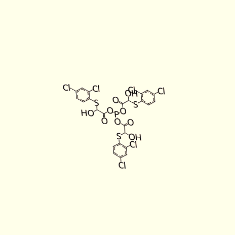 O=C(OP(OC(=O)C(O)Sc1ccc(Cl)cc1Cl)OC(=O)C(O)Sc1ccc(Cl)cc1Cl)C(O)Sc1ccc(Cl)cc1Cl